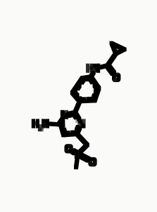 CS(=O)(=O)Cc1cc(N)nc(-c2ccc(NC(=O)C3CC3)cc2)n1